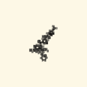 CC(C)(COC1CCCCO1)n1cc(C(=O)c2cncc(NC(=O)Cn3cc(C4CC4)nn3)c2)c2cnc(N)nc21